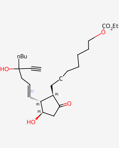 C#CC(O)(C/C=C/[C@H]1[C@H](O)CC(=O)[C@@H]1CCCCCCCOC(=O)OCC)CCCC